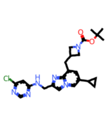 CC(C)(C)OC(=O)N1CC(Cc2cc(C3CC3)cn3cc(CNc4cc(Cl)ncn4)nc23)C1